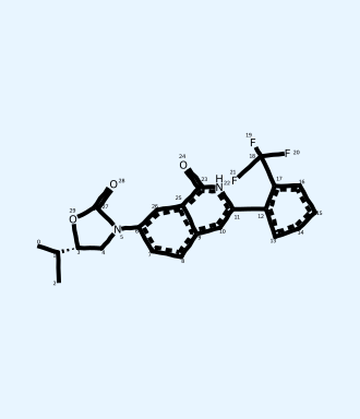 CC(C)[C@H]1CN(c2ccc3cc(-c4ccccc4C(F)(F)F)[nH]c(=O)c3c2)C(=O)O1